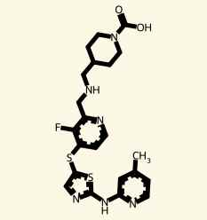 Cc1ccnc(Nc2ncc(Sc3ccnc(CNCC4CCN(C(=O)O)CC4)c3F)s2)c1